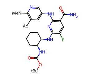 CNc1ncc(Nc2nc(N[C@@H]3CCCC[C@@H]3NC(=O)OC(C)(C)C)c(F)cc2C(N)=O)cc1C(C)=O